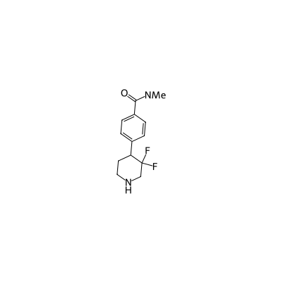 CNC(=O)c1ccc(C2CCNCC2(F)F)cc1